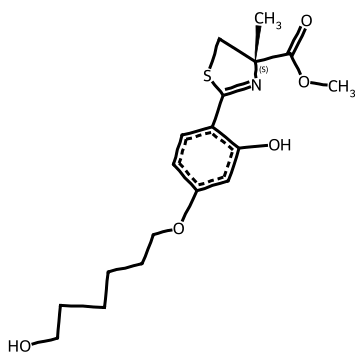 COC(=O)[C@@]1(C)CSC(c2ccc(OCCCCCCO)cc2O)=N1